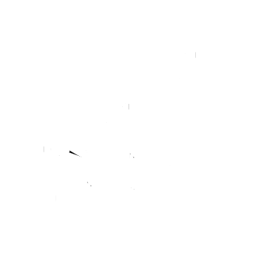 C#SC[C@H](C(=O)O)N(C)C[C@H]1CSC(c2ccc(C)cc2O)=N1